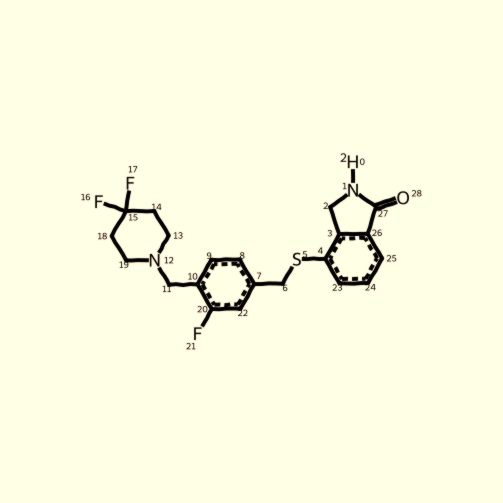 [2H]N1Cc2c(SCc3ccc(CN4CCC(F)(F)CC4)c(F)c3)cccc2C1=O